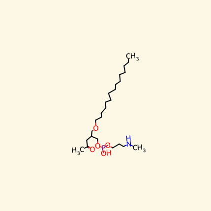 CCCCCCCCCCCCCCCOCC(COP(O)OCCCNC)CC(C)=O